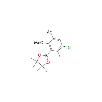 COc1c(C(C)=O)cc(Cl)c(C)c1B1OC(C)(C)C(C)(C)O1